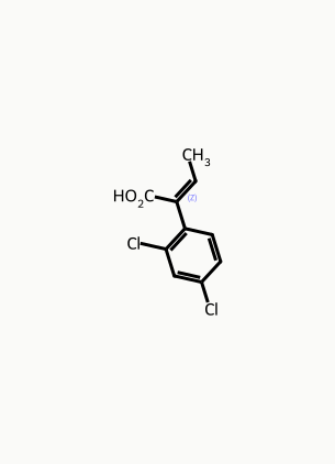 C/C=C(\C(=O)O)c1ccc(Cl)cc1Cl